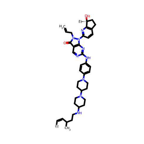 C=CCn1c(=O)c2cnc(Nc3ccc(N4CCC(N5CCC(NCCC(C)/C=C\CC)CC5)CC4)cc3)nc2n1-c1ccc2c(n1)[C@](O)(CC)CC2